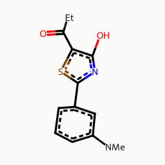 CCC(=O)c1sc(-c2cccc(NC)c2)nc1O